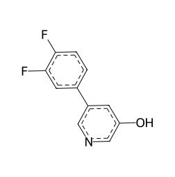 Oc1cncc(-c2ccc(F)c(F)c2)c1